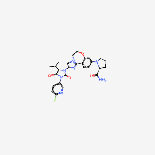 CC(C)C1C(=O)N(c2ccc(F)nc2)C(=O)N1c1cn2c(n1)-c1ccc(N3CCC[C@H]3C(N)=O)cc1OCC2